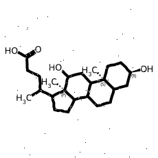 CC(CCC(=O)O)C1CCC2C3CCC4C[C@H](O)CC[C@]4(C)C3CC(O)[C@]12C